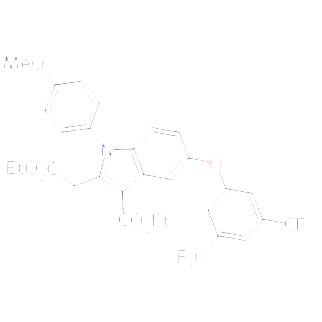 CCOC(=O)Cc1c(C(=O)OCC)c2cc(Oc3cc(C(F)(F)F)cc(C(F)(F)F)c3)ccc2n1-c1ccc(OC)cc1